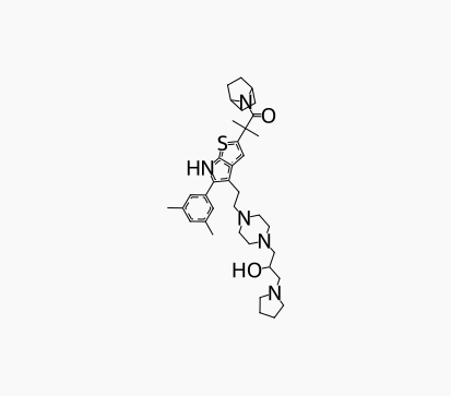 Cc1cc(C)cc(-c2[nH]c3sc(C(C)(C)C(=O)N4C5CCC4CC5)cc3c2CCN2CCN(CC(O)CN3CCCC3)CC2)c1